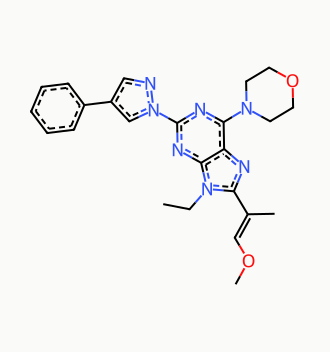 CCn1c(/C(C)=C/OC)nc2c(N3CCOCC3)nc(-n3cc(-c4ccccc4)cn3)nc21